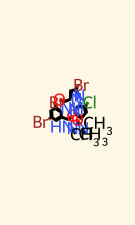 CN(C)C(=O)N(C)NC(=O)c1cc(Br)cc(Br)c1NC(=O)c1cc(Br)nn1-c1ncccc1Cl